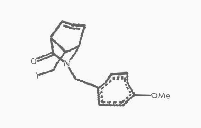 COc1ccc(CN2C(=O)C3C=CC2C3CI)cc1